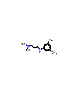 Cc1cc(NCCCN(C)C)cc(C(C)(C)C)c1